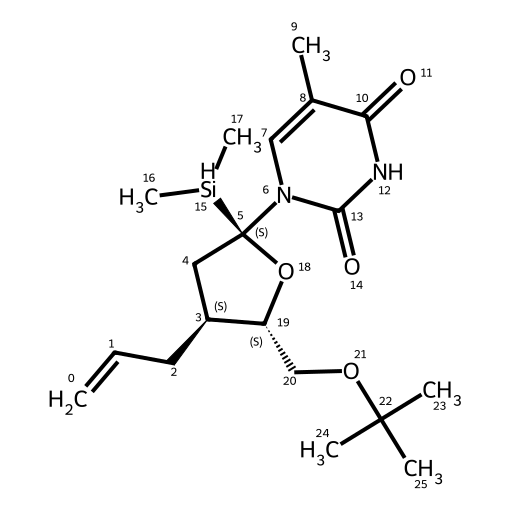 C=CC[C@H]1C[C@@](n2cc(C)c(=O)[nH]c2=O)([SiH](C)C)O[C@@H]1COC(C)(C)C